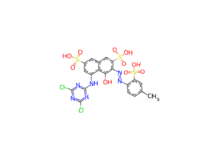 Cc1ccc(N=Nc2c(S(=O)(=O)O)cc3cc(S(=O)(=O)O)cc(Nc4nc(Cl)nc(Cl)n4)c3c2O)c(S(=O)(=O)O)c1